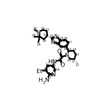 CCc1cc(NC(=O)C(=O)N2C[C@@H](C)CCC2c2ccc3sc([C@H]4CCN(C)C(C)(C)C4)nc3c2)cnc1N